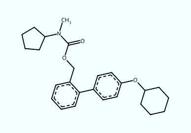 CN(C(=O)OCc1ccccc1-c1ccc(OC2CCCCC2)cc1)C1CCCC1